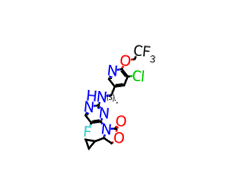 C[C@H](Nc1ncc(F)c(N2C(=O)OCC2C2CC2)n1)c1cnc(OCC(F)(F)F)c(Cl)c1